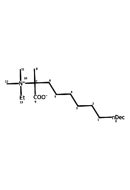 CCCCCCCCCCCCCCCCC(C)(C(=O)[O-])[N+](C)(C)CC